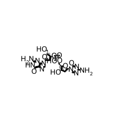 Nc1ncn([C@H]2C[C@@H](O)[C@@H](COP(=O)(O)O[C@@H]3C[C@H](n4cnc5c(=O)[nH]c(N)nc54)O[C@@H]3CO)O2)c(=O)n1